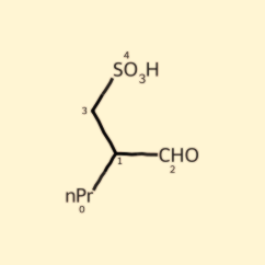 CCCC(C=O)CS(=O)(=O)O